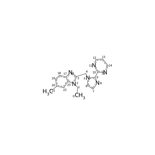 CCn1c(Cn2ccnc2-c2ncccn2)nc2ccc(C)cc21